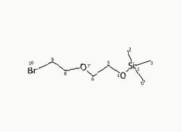 C[Si](C)(C)OCCOCCBr